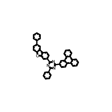 c1ccc(-c2ccc3oc4cc(-c5nc(-c6ccccc6)nc(-c6ccc7c8ccccc8c8ccccc8c7c6)n5)ccc4c3c2)cc1